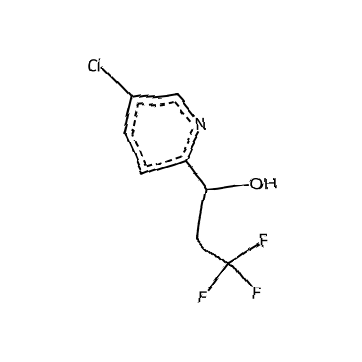 OC(CC(F)(F)F)c1ccc(Cl)cn1